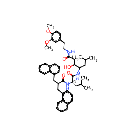 COc1ccc(CCNC(=O)CC(O)C(CC(C)C)NC(=O)[C@H](CC(C)C)NC(=O)C(Cc2cccc3ccccc23)Cc2cccc3ccccc23)cc1OC